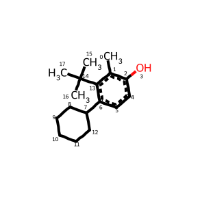 Cc1c(O)ccc(C2CCCCC2)c1C(C)(C)C